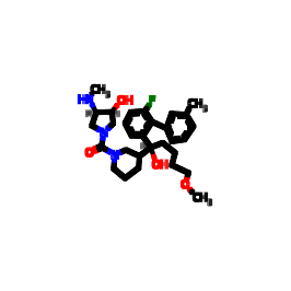 CN[C@@H]1CN(C(=O)N2CCCC([C@@](O)(CCCCOC)c3cccc(F)c3-c3cccc(C)c3)C2)C[C@@H]1O